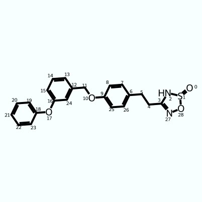 O=S1NC(CCc2ccc(OCc3cccc(Oc4ccccc4)c3)cc2)=NO1